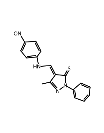 CC1=NN(c2ccccc2)C(=S)/C1=C/Nc1ccc(N=O)cc1